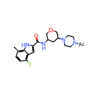 CC(=O)N1CCN(C2COCC(NC(=O)c3cc4c(F)ccc(C)c4[nH]3)C2)CC1